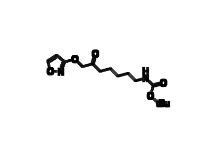 CC(C)(C)OC(=O)NCCCCCC(=O)COc1ccon1